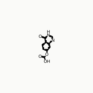 O=C(O)Oc1ccc2c(=O)[nH]cnc2c1